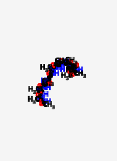 COC(=O)c1c(C)[nH]c2c1[C@@]13C[C@@H]1CN(C(=O)c1cc(NC(=O)c4cc(NC(=O)c5nc(NC(=O)CCCNC(=O)c6cc(NC(=O)c7cc(NC(=O)c8nc(NC(C)=O)cn8C)cn7C)cn6C)cn5C)cn4C)cn1C)C3=CC2=O